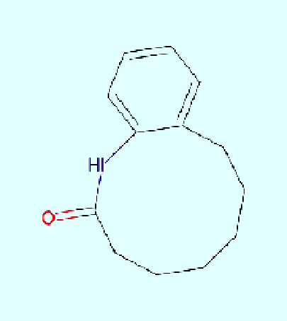 O=C1CCCCCCc2ccccc2[IH]1